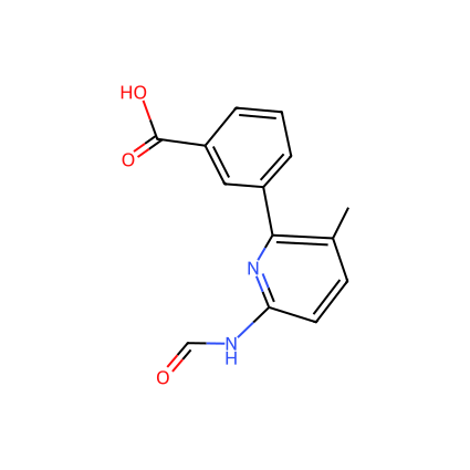 Cc1ccc(NC=O)nc1-c1cccc(C(=O)O)c1